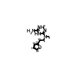 C/N=C(\NC(=N)N)N(C)CCc1ccco1